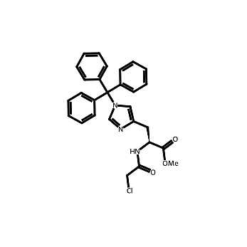 COC(=O)[C@H](Cc1cn(C(c2ccccc2)(c2ccccc2)c2ccccc2)cn1)NC(=O)CCl